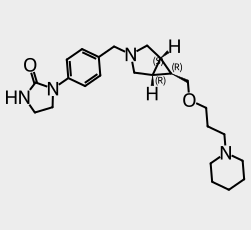 O=C1NCCN1c1ccc(CN2C[C@@H]3[C@@H](COCCCN4CCCCC4)[C@@H]3C2)cc1